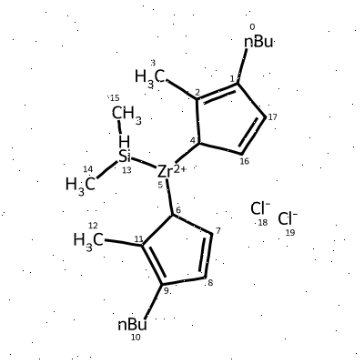 CCCCC1=C(C)[CH]([Zr+2]([CH]2C=CC(CCCC)=C2C)[SiH](C)C)C=C1.[Cl-].[Cl-]